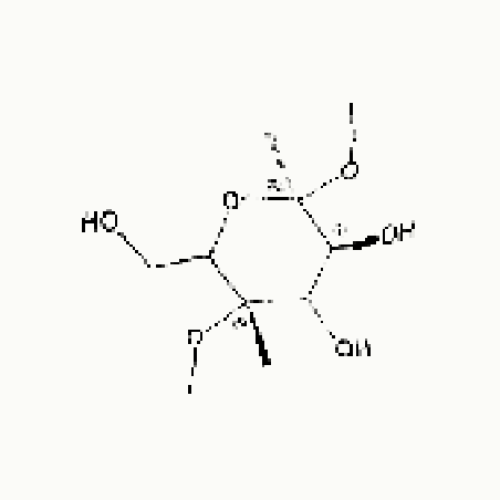 CO[C@]1(C)C(CO)O[C@@](C)(OC)[C@@H](O)C1O